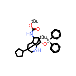 CC(C)(C)OC(=O)NC1C2CC3(C4CCCC4)CNC2[C@@H](O[Si](c2ccccc2)(c2ccccc2)C(C)(C)C)C1C3